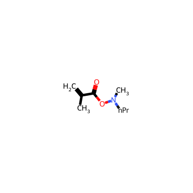 C=C(C)C(=O)ON(C)CCC